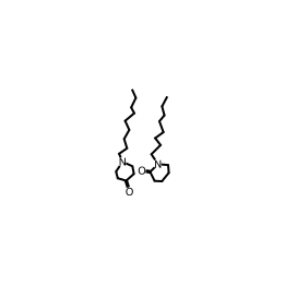 CCCCCCCCCN1CCC(=O)CC1.CCCCCCCCN1CCCCC1=O